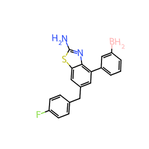 Bc1cccc(-c2cc(Cc3ccc(F)cc3)cc3sc(N)nc23)c1